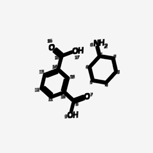 NC1CCCCC1.O=C(O)c1cccc(C(=O)O)c1